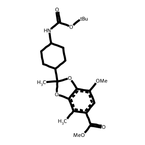 COC(=O)c1cc(OC)c2c(c1C)OC(C)(C1CCC(NC(=O)OC(C)(C)C)CC1)O2